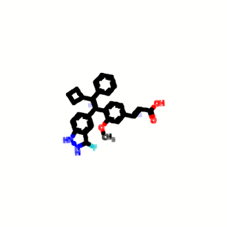 COc1cc(/C=C/C(=O)O)ccc1/C(=C(\c1ccccc1)C1CCC1)c1ccc2c(c1)C(F)NN2